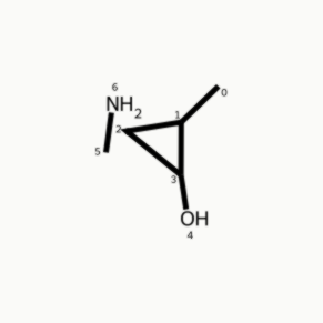 CC1CC1O.CN